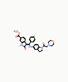 COC(=O)c1ccc2c(c1)NC(=O)/C2=C(\Nc1ccc2c(c1)CCN2C(=O)CN1CCOCC1)c1ccc(F)cc1